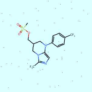 CS(=O)(=O)OCC1CN(c2ccc(C(F)(F)F)cc2)c2cnc(C(F)(F)F)n2C1